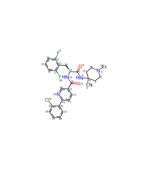 CCN1CCC(C#N)(NC(=O)[C@H](Cc2c(F)cccc2F)NC(=O)c2ccc(-c3ccccc3Cl)nc2)CC1